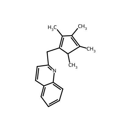 C[C]1C(C)=C(C)C(C)=C1Cc1ccc2ccccc2n1